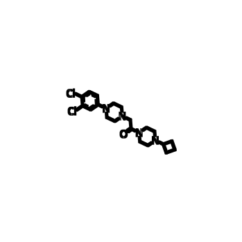 O=C(CN1CCN(c2ccc(Cl)c(Cl)c2)CC1)N1CCN(C2CCC2)CC1